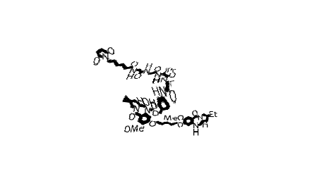 CCC1C[C@H]2CNc3cc(OCCCCCOc4cc5c(cc4OC)C(=O)N4CC6(CC6)C[C@H]4C(O)N5C(=O)OCc4ccc(NC(=O)[C@H](C)NC(=O)[C@@H](NC(=O)CNC(=O)CNC(=O)CCCCCN5C(=O)C=CC5=O)C(C)C)cc4)c(OC)cc3C(=O)N2C1